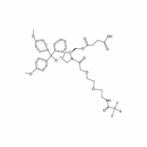 COc1ccc(C(O[C@@H]2C[C@@H](COC(=O)CCC(=O)O)N(C(=O)COCCOCCNC(=O)C(F)(F)F)C2)(c2ccccc2)c2ccc(OC)cc2)cc1